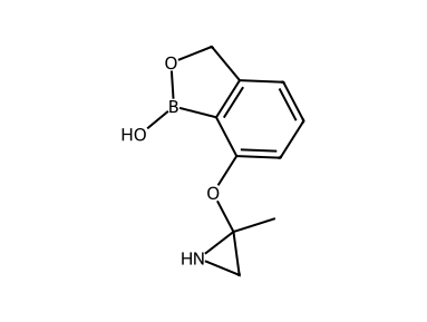 CC1(Oc2cccc3c2B(O)OC3)CN1